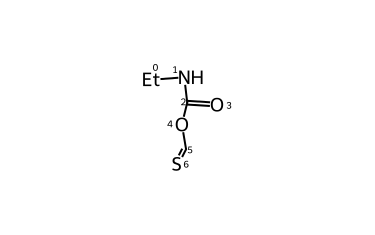 CCNC(=O)OC=S